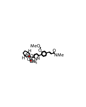 CNC(=O)/C=C/c1ccc(-c2ccc(N(C)C3C[C@@H]4CC[C@@H](C3)N4C(=O)OC(C)(C)C)nn2)c(OCOC)c1